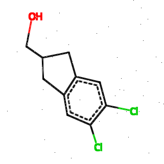 OCC1Cc2cc(Cl)c(Cl)cc2C1